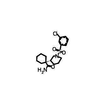 NC(=O)C1([C@H]2CCCN(S(=O)(=O)c3cccc(Cl)c3)C2)CCCCC1